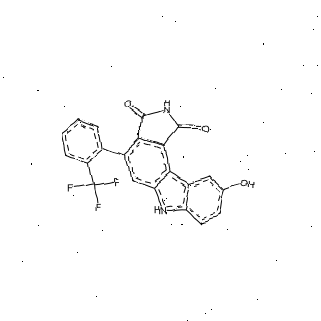 O=C1NC(=O)c2c1c(-c1ccccc1C(F)(F)F)cc1[nH]c3ccc(O)cc3c21